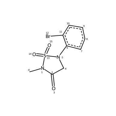 CN1C(=O)CN(c2ccccc2Br)S1(=O)=O